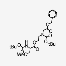 COC[C@H](NC(=O)OC(C)(C)C)C(=O)OCCN(CC(=O)OCc1ccccc1)C(=O)OC(C)(C)C